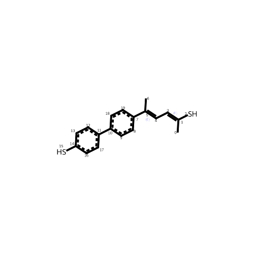 C/C(S)=C\C=C(/C)c1ccc(-c2ccc(S)cc2)cc1